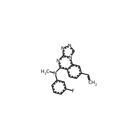 C=Cc1ccc2c(N(C)c3cccc(F)c3)nc3nncn3c2c1